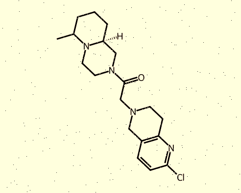 CC1CCC[C@H]2CN(C(=O)CN3CCc4nc(Cl)ccc4C3)CCN12